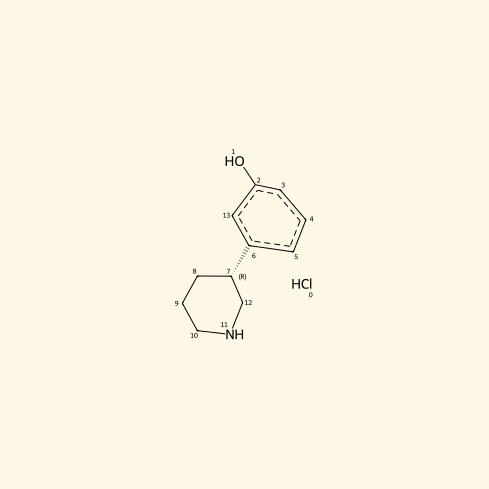 Cl.Oc1cccc([C@H]2CCCNC2)c1